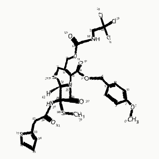 COc1ccc(COC(=O)C2=C(COC(=O)NCC(Cl)(Cl)Cl)CS[C@@H]3N2C(=O)C3(NC(=O)Cc2cccs2)SC)cc1